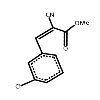 COC(=O)C(C#N)=Cc1cccc(Cl)c1